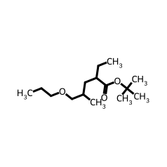 CCCOCC(C)CC(CC)C(=O)OC(C)(C)C